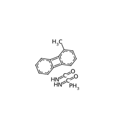 Cc1cccc2c1=c1ccccc1=2.N=C=O.N=C=O.P